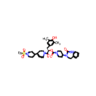 CCS(=O)(=O)N1CCC(C2CCN(C(=O)[C@@H](Cc3cc(C)c(O)c(C)c3)OC(=O)N3CCC(N4CCc5ccccc5NC4=O)CC3)CC2)CC1